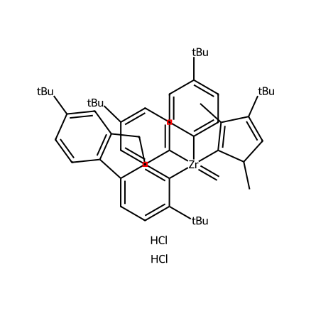 Cl.Cl.[CH2]=[Zr]([C]1=C(C)C(C(C)(C)C)=CC1C)([c]1ccc(C(C)(C)C)cc1)([c]1ccc(C(C)(C)C)cc1)[c]1c(C(C)(C)C)ccc2c1Cc1cc(C(C)(C)C)ccc1-2